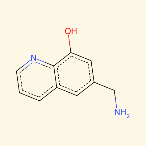 NCc1cc(O)c2ncccc2c1